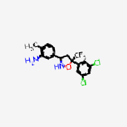 Cc1ccc(C2CC(c3cc(Cl)cc(Cl)c3)(C(F)(F)F)ON2)cc1N